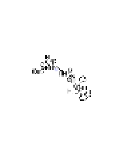 CC(NC(=O)OC(C)(C)C)C(=O)/C=C/CCNC(=O)C(=O)NCc1ccccc1C(=O)N[C@H](C)c1cccc2ccccc12